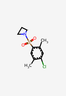 Cc1cc(S(=O)(=O)N2[CH]CC2)c(C)cc1Cl